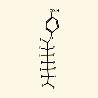 O=C(O)c1ccc(OC(F)C(F)(F)C(F)(F)C(F)(F)C(F)(F)C(F)(F)C(F)F)cc1